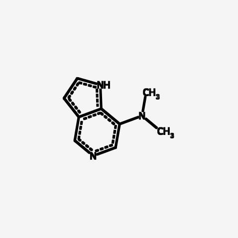 CN(C)c1cncc2cc[nH]c12